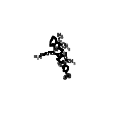 CC[n+]1c(/C=C2/C(=O)C(/C=C3\N(CCOCCOC)c4ccccc4C3(C)C)=C2O)sc2cc([N+](=O)[O-])ccc21